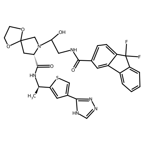 C[C@@H](NC(=O)[C@@H]1CC2(CN1C(O)CNC(=O)c1ccc3c(c1)-c1ccccc1C3(F)F)OCCO2)c1cc(-c2nnc[nH]2)cs1